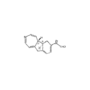 O=CNC1=CC=C2CC3=CC=NC=C[C@@H]3[C@H]2C1